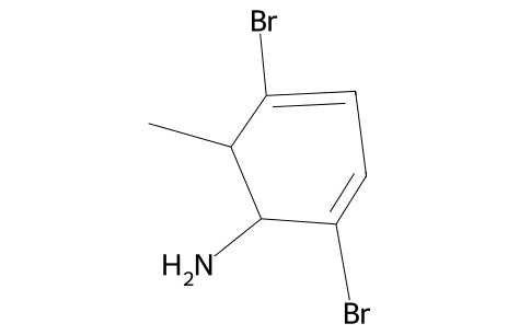 CC1C(Br)=CC=C(Br)C1N